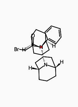 O=C(CBr)N(c1ccccc1)[C@H]1C[C@H]2CCC[C@@H](C1)N2[C@H]1C[C@@H]2CCC[C@@H](C2)C1